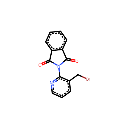 O=C1c2ccccc2C(=O)N1c1ncccc1CBr